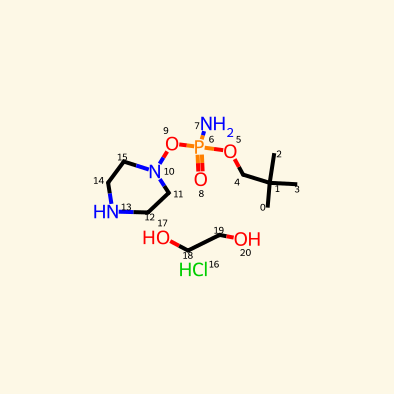 CC(C)(C)COP(N)(=O)ON1CCNCC1.Cl.OCCO